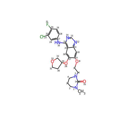 CN1CCCN(CCOc2cc3ncnc(Nc4ccc(F)c(Cl)c4)c3cc2O[C@H]2CCOC2)C1=O